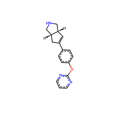 C1=C(c2ccc(Oc3ncccn3)cc2)C[C@@H]2CNC[C@H]12